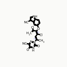 C=C(Cl)/C(Oc1ccc2[nH]cc(C#N)c2c1)=C(Cl)\C=C(/C)n1nc(C#N)c(=O)[nH]c1=O